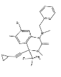 C=C1N(B(C)Cc2ccccc2)c2cc(Br)c(C)cc2C(C#CC2CC2)(C(F)(F)P)N1C